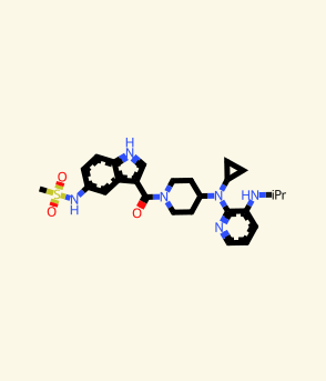 CC(C)Nc1cccnc1N(C1CC1)C1CCN(C(=O)c2c[nH]c3ccc(NS(C)(=O)=O)cc23)CC1